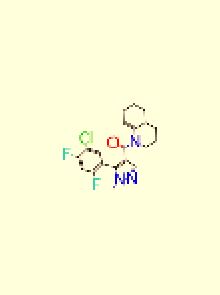 Cn1ncc(C(=O)N2CCCC3CCCC=C32)c1-c1cc(Cl)c(F)cc1F